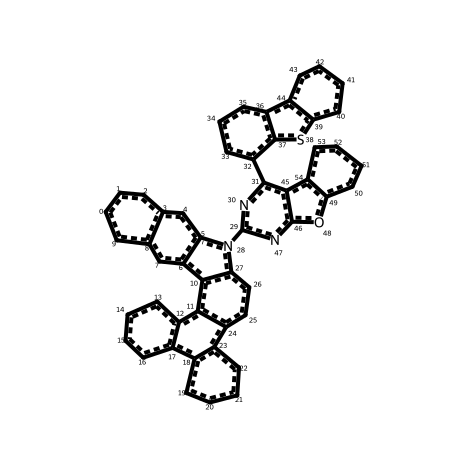 c1ccc2cc3c(cc2c1)c1c2c4ccccc4c4ccccc4c2ccc1n3-c1nc(-c2cccc3c2sc2ccccc23)c2c(n1)oc1ccccc12